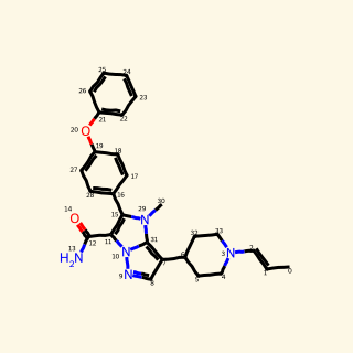 CC=CN1CCC(c2cnn3c(C(N)=O)c(-c4ccc(Oc5ccccc5)cc4)n(C)c23)CC1